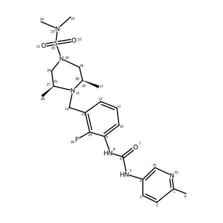 Cc1ccc(NC(=O)Nc2cccc(CN3[C@H](C)CN(S(=O)(=O)N(C)C)C[C@@H]3C)c2F)cn1